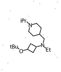 CCN(CC1CCN(C(C)C)CC1)C1CC(OC(C)(C)C)C1